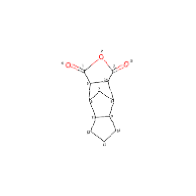 O=C1OC(=O)C2C3CC(C4CCCC43)C12